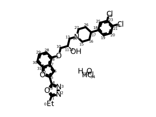 CCc1nnc(-c2cc3c(OC[C@@H](O)CN4CCC(c5ccc(Cl)c(Cl)c5)CC4)cccc3o2)o1.Cl.O